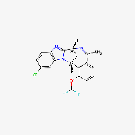 CC1=N[C@@H]2C[C@H](c3c(OC(F)F)cccc31)n1c2nc2ccc(Cl)cc21